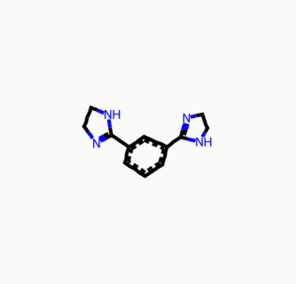 c1cc(C2=NCCN2)cc(C2=NCCN2)c1